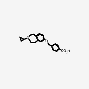 O=C(O)c1ccc(COc2ccc3c(c2)CCN(C2CC2)CC3)cc1